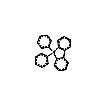 c1ccc([Si]2(c3ccccc3)c3ccccc3-c3ccccc32)cc1